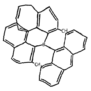 Cc1ccc2c(c1B(c1c(C)ccc3ccccc13)c1c3ccccc3cc3ccccc13)C=CC=CC2